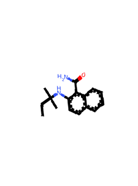 CCC(C)(C)Nc1ccc2ccccc2c1C(N)=O